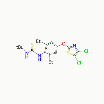 CCc1cc(Oc2nc(Cl)c(Cl)s2)cc(CC)c1NC(=S)NC(C)(C)C